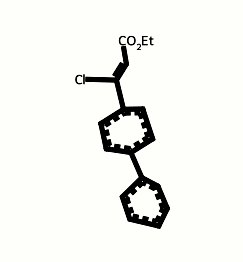 CCOC(=O)/C=C(\Cl)c1ccc(-c2ccccc2)cc1